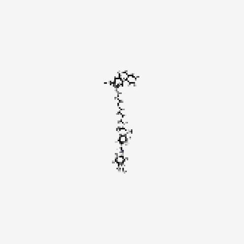 N=c1cc2c(nn1CCCCCCCCCCC(=O)Nc1ccc(/C=C/c3ccc(N)cc3)cc1)C1C=CC=CC1CC2